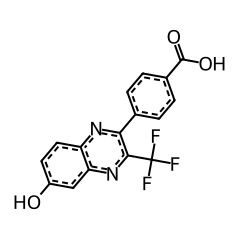 O=C(O)c1ccc(-c2nc3ccc(O)cc3nc2C(F)(F)F)cc1